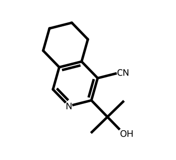 CC(C)(O)c1ncc2c(c1C#N)CCCC2